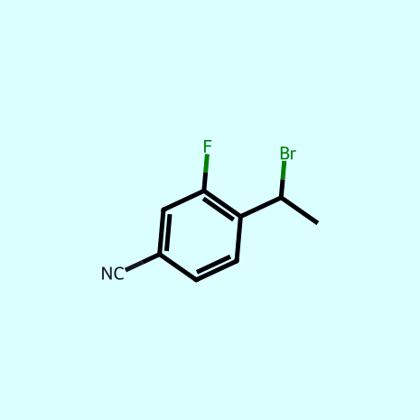 CC(Br)c1ccc(C#N)cc1F